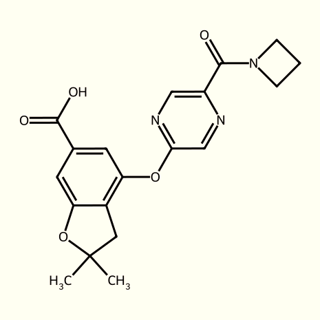 CC1(C)Cc2c(Oc3cnc(C(=O)N4CCC4)cn3)cc(C(=O)O)cc2O1